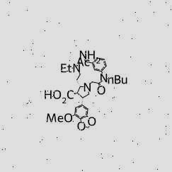 CCCCN(C(=O)CN1C[C@H](c2cc(OC)c3c(c2)OCO3)[C@@H](C(=O)O)[C@@H]1CCN(CC)C(C)=O)c1cccc(CN)c1